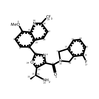 COc1ccc(-c2nc(C(=O)N3Cc4cccc(F)c4C3)c([C@H](C)N)o2)c2ccc(C(F)(F)F)nc12